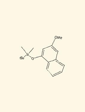 COc1cc(O[Si](C)(C)C(C)(C)C)c2ccccc2c1